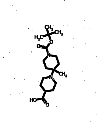 CC(C)(C)OC(=O)N1CCC(C)(N2CCC(C(=O)O)CC2)CC1